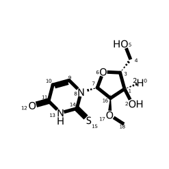 [2H][C@@]1(O)[C@@H](CO)O[C@@H](n2ccc(=O)[nH]c2=S)[C@@H]1OC